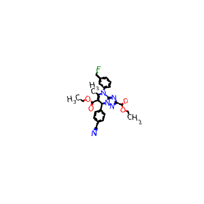 CCOC(=O)C1=C(C)N(c2cccc(CF)c2)c2nc(C(=O)OCC)nn2C1c1ccc(C#N)cc1